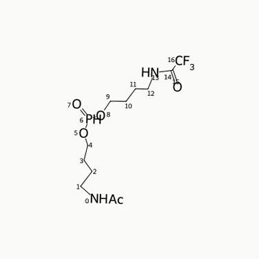 CC(=O)NCCCCO[PH](=O)OCCCCNC(=O)C(F)(F)F